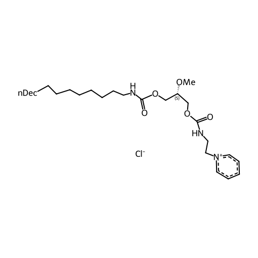 CCCCCCCCCCCCCCCCCCNC(=O)OC[C@@H](COC(=O)NCC[n+]1ccccc1)OC.[Cl-]